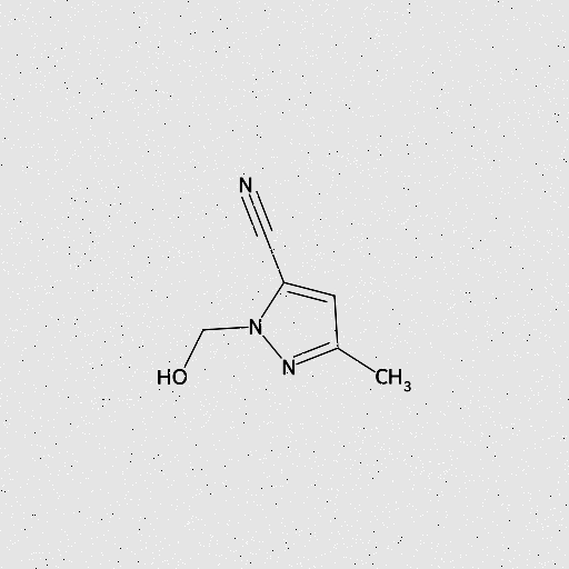 Cc1cc(C#N)n(CO)n1